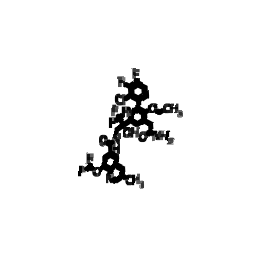 CCOc1c(CC(N)=O)cc([C@@](O)(CNC(=O)c2cc(OC(F)F)c3ncc(C)cc3c2)C(F)(F)F)nc1-c1ccc(F)c(F)c1Cl